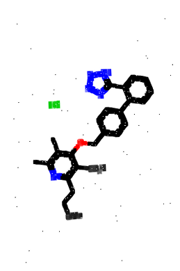 COCCc1nc(C)c(C)c(OCc2ccc(-c3ccccc3-c3nnn[nH]3)cc2)c1C(=O)O.Cl